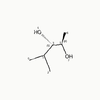 CC(C)[C@H](O)[C@@H](C)O